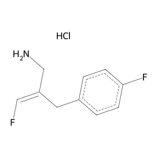 Cl.NC/C(=C/F)Cc1ccc(F)cc1